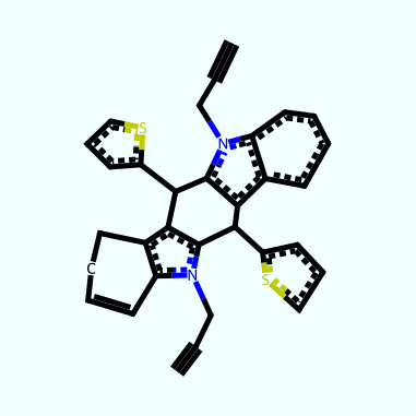 C#CCn1c2c(c3c1C(c1cccs1)c1c(n(CC#C)c4ccccc14)C3c1cccs1)CCC=C2